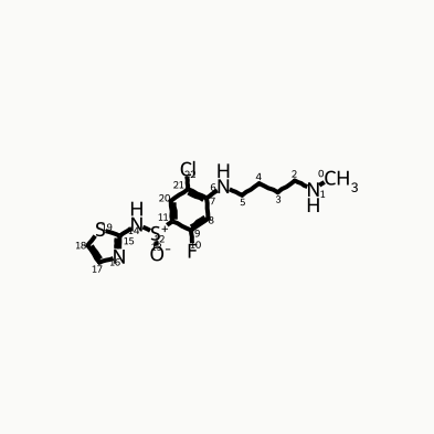 CNCCCCNc1cc(F)c([S+]([O-])Nc2nccs2)cc1Cl